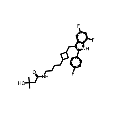 CC(C)(O)CC(=O)NCCCCC1CC(Cc2c(-c3ccc(F)cc3)[nH]c3c(F)cc(F)cc23)C1